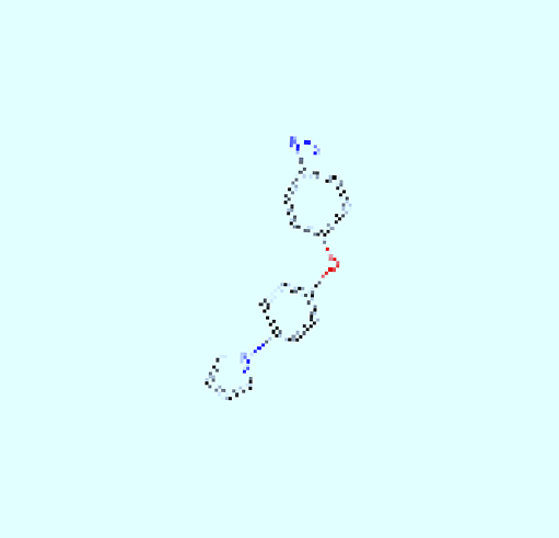 Nc1ccc(Oc2ccc(-n3cccc3)cc2)cc1